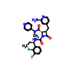 CC[C@@H](NC(=O)N1C(=O)[C@H](Cc2ccnc(N)c2)[C@H]1C(=O)N(C)c1ccncc1)c1cccc(F)c1F